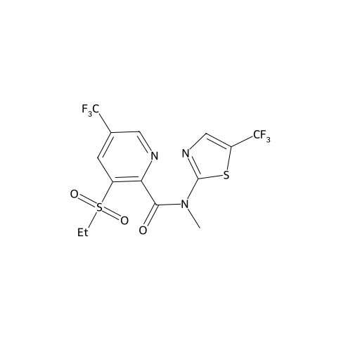 CCS(=O)(=O)c1cc(C(F)(F)F)cnc1C(=O)N(C)c1ncc(C(F)(F)F)s1